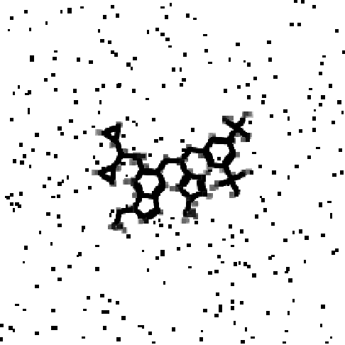 CCn1ncc2cc(CN(Cc3cc(C(F)(F)F)cc(C(F)(F)F)c3)c3nnn(C)n3)c(NC(C3CC3)C3CC3)nc21